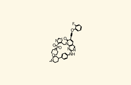 CN1CCC(c2ccc(Nc3ncc4cc(C#COc5ccccc5F)c(=O)n(Cc5scnc5S(=O)(=O)N5CCOCC5)c4n3)cc2)CC1